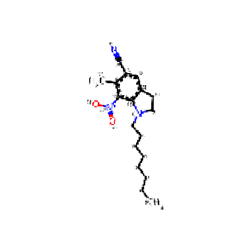 CCCCCCCCN1CCc2cc(C#N)c(C)c([N+](=O)[O-])c21